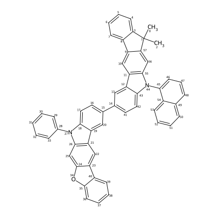 CC1(C)c2ccccc2-c2cc3c4cc(-c5ccc6c(c5)c5cc7c(cc5n6-c5ccccc5)oc5ccccc57)ccc4n(-c4cccc5ccccc45)c3cc21